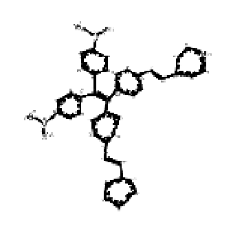 CCCCN(CCCC)c1ccc(C(=C(c2ccc(/C=C/c3ccccc3)cc2)c2ccc(/C=C/c3ccncc3)cc2)c2ccc(N(CCCC)CCCC)cc2)cc1